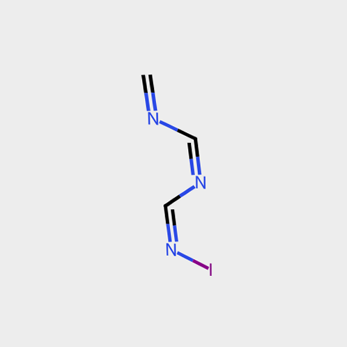 C=N/C=N\C=N/I